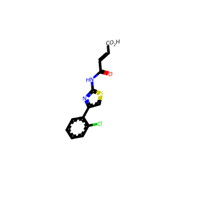 O=C(O)C=CC(=O)Nc1nc(-c2ccccc2Cl)cs1